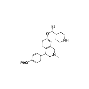 CCC(Oc1ccc2c(c1)CN(C)CC2c1ccc(SC)cc1)C1CCNCC1